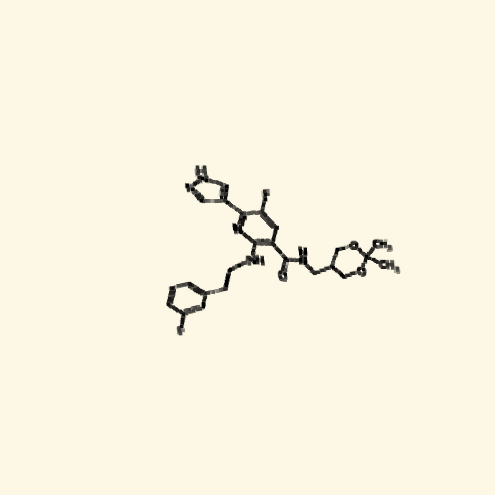 CC1(C)OCC(CNC(=O)c2cc(F)c(-c3cn[nH]c3)nc2NCCc2cccc(F)c2)CO1